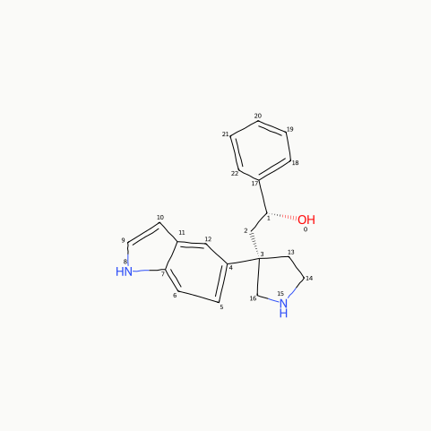 O[C@H](C[C@]1(c2ccc3[nH]ccc3c2)CCNC1)c1ccccc1